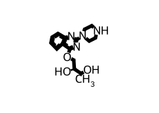 C[C@H](O)[C@@H](O)COc1nc(N2CCNCC2)nc2ccccc12